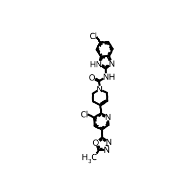 Cc1nnc(-c2cnc(C3=CCN(C(=O)Nc4nc5ccc(Cl)cc5[nH]4)CC3)c(Cl)c2)o1